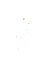 COc1cc(C(=O)N2CC[C@]3(C4(C)C=CC=CC4)OCO[C@@H]3C2)ccc1OCC(C)(C)F